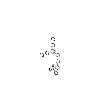 CC1(C)c2ccccc2-c2ccc(-c3ccc(-c4cccc(-c5nc(-c6ccc(-c7ccccc7)cc6)cc(-c6ccc(-c7ccccc7)cc6)n5)c4)cc3)cc21